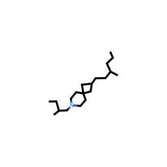 CCCC(C)CCC1CC2(CCN(CC(C)CC)CC2)C1